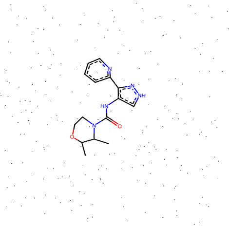 CC1OCCN(C(=O)Nc2c[nH]nc2-c2ccccn2)C1C